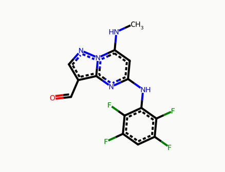 CNc1cc(Nc2c(F)c(F)cc(F)c2F)nc2c(C=O)cnn12